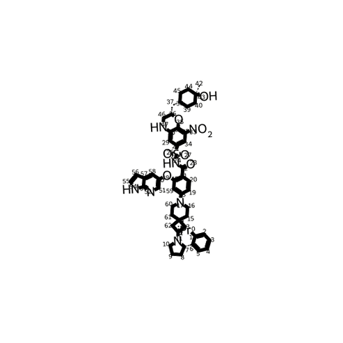 CC(C)c1ccccc1[C@@H]1CCCN1C1CC2(CCN(c3ccc(C(=O)NS(=O)(=O)c4cc5c(c([N+](=O)[O-])c4)O[C@@H](C[C@H]4CC[C@](C)(O)CC4)CN5)c(Oc4cnc5[nH]ccc5c4)c3)CC2)C1